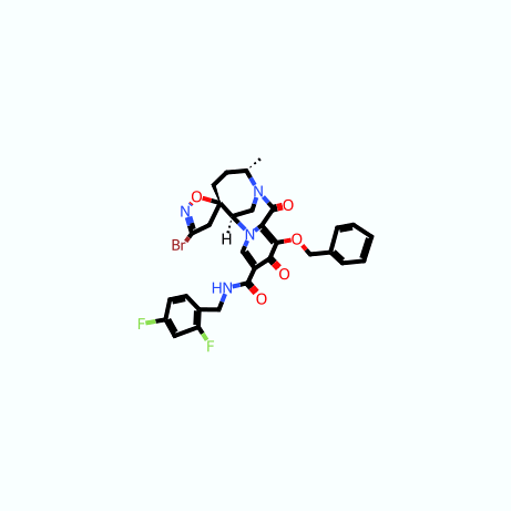 C[C@H]1CC[C@]2(CC(Br)=NO2)[C@H]2CN1C(=O)c1c(OCc3ccccc3)c(=O)c(C(=O)NCc3ccc(F)cc3F)cn12